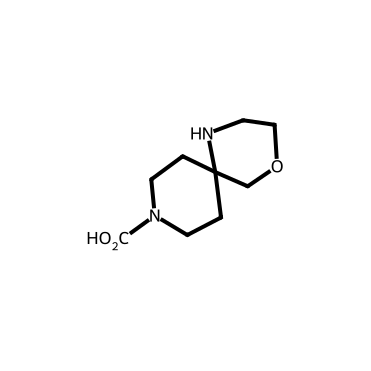 O=C(O)N1CCC2(CC1)COCCN2